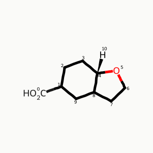 O=C(O)C1CC[C@@H]2OCCC2C1